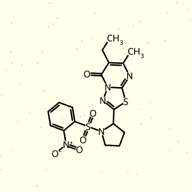 CCc1c(C)nc2sc(C3CCCN3S(=O)(=O)c3ccccc3[N+](=O)[O-])nn2c1=O